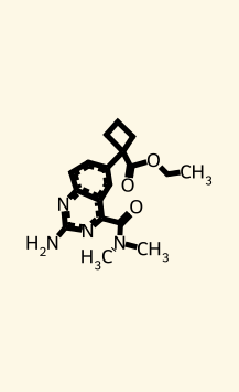 CCOC(=O)C1(c2ccc3nc(N)nc(C(=O)N(C)C)c3c2)CCC1